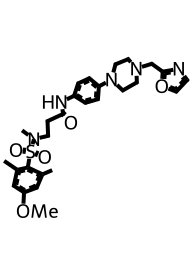 COc1cc(C)c(S(=O)(=O)N(C)CCC(=O)Nc2ccc(N3CCN(Cc4ncco4)CC3)cc2)c(C)c1